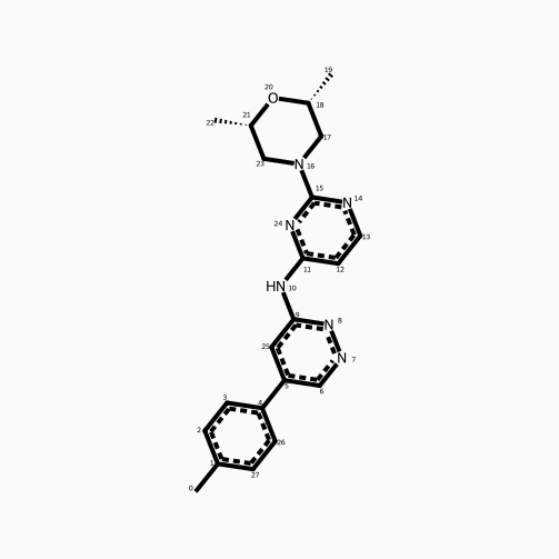 Cc1ccc(-c2cnnc(Nc3ccnc(N4C[C@@H](C)O[C@@H](C)C4)n3)c2)cc1